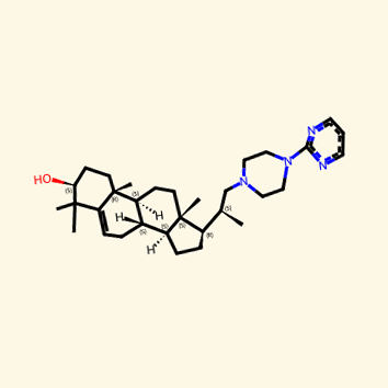 C[C@H](CN1CCN(c2ncccn2)CC1)[C@H]1CC[C@H]2[C@@H]3CC=C4C(C)(C)[C@@H](O)CC[C@]4(C)[C@H]3CC[C@]12C